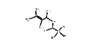 CCC(NC(C)C(C)=C(C)[SiH3])[Si](C(C)C)(C(C)C)C(C)C